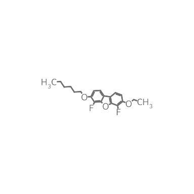 CCCCCCOc1ccc2c(oc3c(F)c(OCC)ccc32)c1F